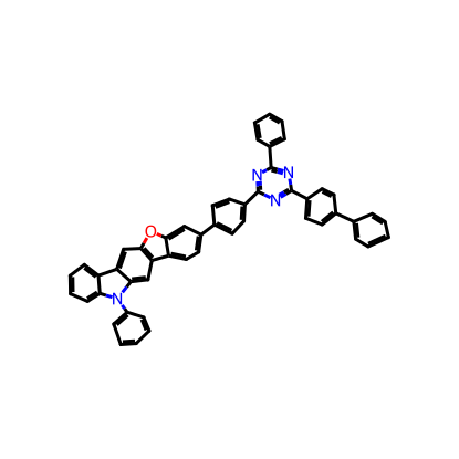 c1ccc(-c2ccc(-c3nc(-c4ccccc4)nc(-c4ccc(-c5ccc6c(c5)oc5cc7c8ccccc8n(-c8ccccc8)c7cc56)cc4)n3)cc2)cc1